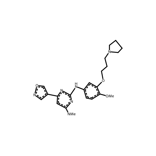 CNc1cc(-c2cnoc2)nc(Nc2ccc(OC)c(OCCCN3CCCC3)c2)n1